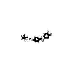 CCC1(COCOc2ccc(C(=O)Oc3ccc(F)c(F)c3)cc2)COC1